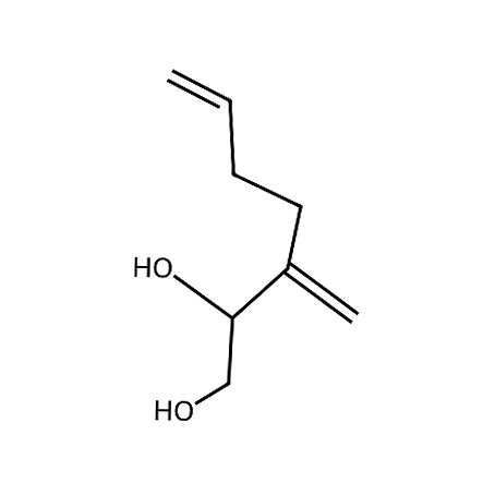 C=CCCC(=C)C(O)CO